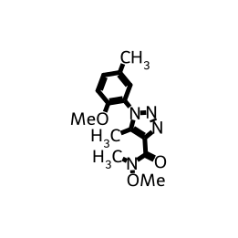 COc1ccc(C)cc1-n1nnc(C(=O)N(C)OC)c1C